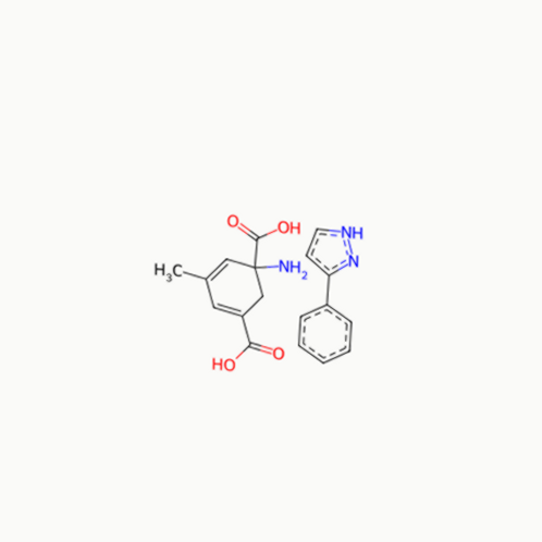 CC1=CC(N)(C(=O)O)CC(C(=O)O)=C1.c1ccc(-c2cc[nH]n2)cc1